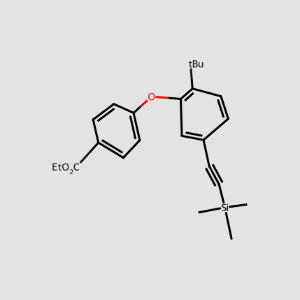 CCOC(=O)c1ccc(Oc2cc(C#C[Si](C)(C)C)ccc2C(C)(C)C)cc1